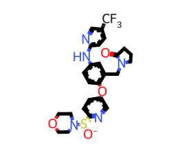 O=C1CCCN1Cc1cc(Nc2ccc(C(F)(F)F)cn2)ccc1Oc1ccc([S+]([O-])N2CCOCC2)nc1